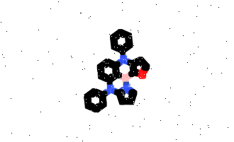 c1ccc(N2c3ccoc3B3c4c2cccc4N(c2ccccc2)c2cccn23)cc1